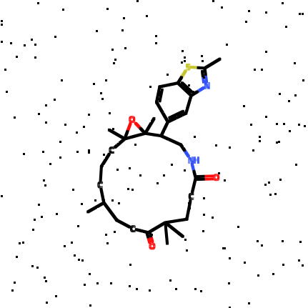 Cc1nc2cc(C3CNC(=O)CCC(C)(C)C(=O)CCC(C)CCCC4(C)OC34C)ccc2s1